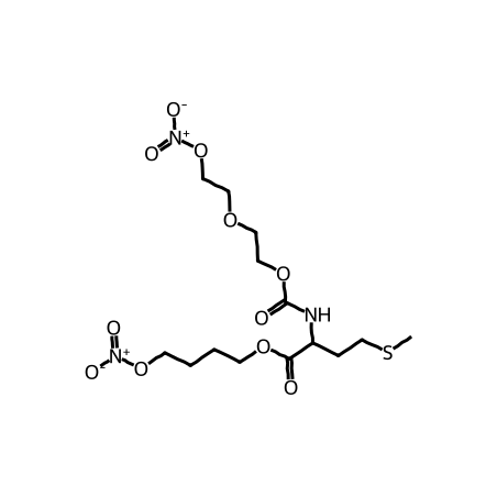 CSCCC(NC(=O)OCCOCCO[N+](=O)[O-])C(=O)OCCCCO[N+](=O)[O-]